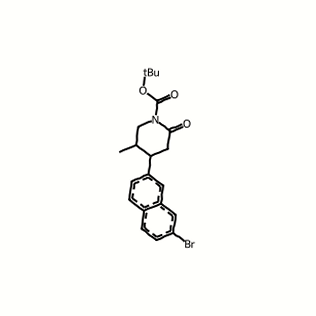 CC1CN(C(=O)OC(C)(C)C)C(=O)CC1c1ccc2ccc(Br)cc2c1